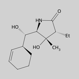 CC[C@H]1C(=O)N[C@H]([C@@H](O)[C@@H]2C=CCCC2)[C@@]1(C)O